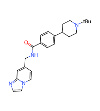 CC(C)(C)N1CCC(c2ccc(C(=O)NCc3ccn4ccnc4c3)cc2)CC1